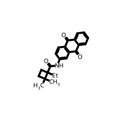 CCC1(C(=O)Nc2ccc3c(c2)C(=O)c2ccccc2C3=O)CCC1(C)C